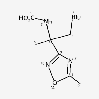 Cc1nc(C(C)(CC(C)(C)C)NC(=O)O)no1